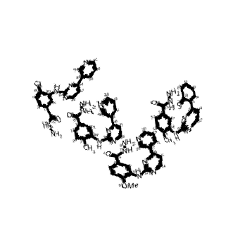 COc1ccc(C(=O)NN)cc1Nc1nccc(-c2cccnc2)n1.Cc1ccc(C(=O)NN)cc1Nc1nccc(-c2cccnc2)n1.Cc1ccc(C(=O)NN)cc1Nc1nccc(C2=CC=CCC2=S)n1.NNC(=O)c1ccc(Cl)c(Nc2nccc(-c3cccnc3)n2)c1